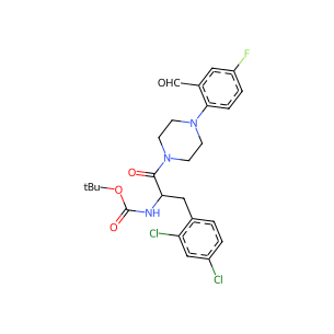 CC(C)(C)OC(=O)NC(Cc1ccc(Cl)cc1Cl)C(=O)N1CCN(c2ccc(F)cc2C=O)CC1